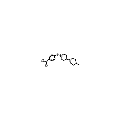 COC(=O)c1ccc(SN2CCC(N3CCC(C)CC3)CC2)cc1